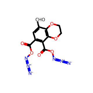 [N-]=[N+]=NOC(=O)c1cc(C=O)c2c(c1C(=O)ON=[N+]=[N-])OCCO2